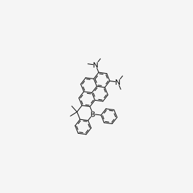 CN(C)c1cc(N(C)C)c2ccc3c4c(cc5ccc1c2c53)C(C)(C)c1ccccc1B4c1ccccc1